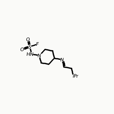 CC(C)CC=NC1CCN(NS(=O)(=O)F)CC1